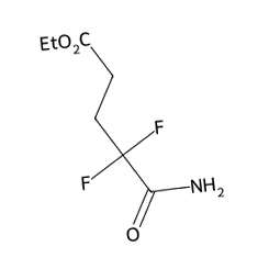 CCOC(=O)CCC(F)(F)C(N)=O